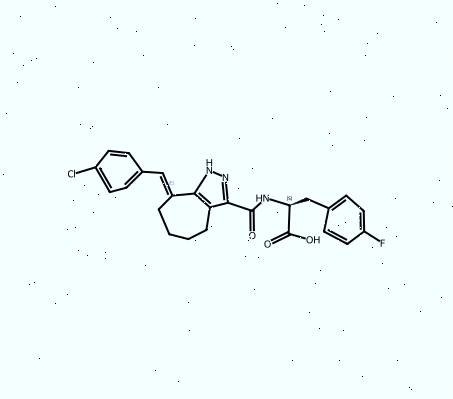 O=C(N[C@@H](Cc1ccc(F)cc1)C(=O)O)c1n[nH]c2c1CCCC/C2=C\c1ccc(Cl)cc1